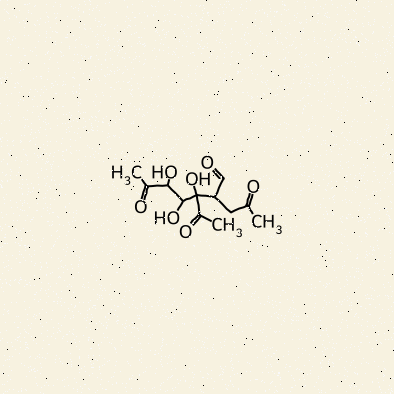 CC(=O)CC(C=O)C(O)(C(C)=O)C(O)C(O)C(C)=O